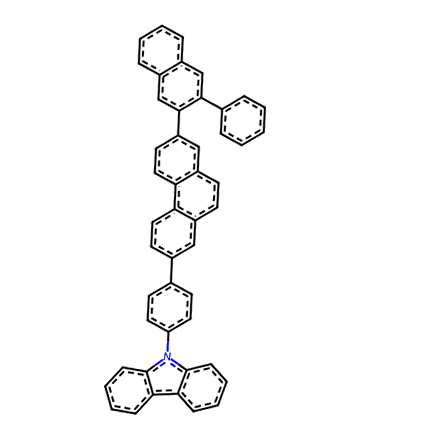 c1ccc(-c2cc3ccccc3cc2-c2ccc3c(ccc4cc(-c5ccc(-n6c7ccccc7c7ccccc76)cc5)ccc43)c2)cc1